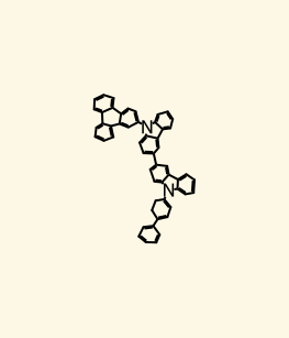 C1=C(c2ccccc2)CCC(n2c3ccccc3c3cc(-c4ccc5c(c4)c4ccccc4n5-c4ccc5c6ccccc6c6ccccc6c5c4)ccc32)=C1